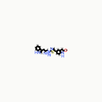 N[C@H](CNc1ncc(-c2ccc3c(c2)CC(=O)N3)s1)CC1=CNC2C=CC=CC12